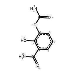 NC(=O)Oc1cccc(C(N)=O)c1O